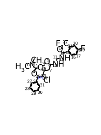 CN(C)C(=O)OC(CC(=O)NCNC(=O)c1ccc(F)cc1C(F)(F)F)/C(Cl)=C/c1ccccc1